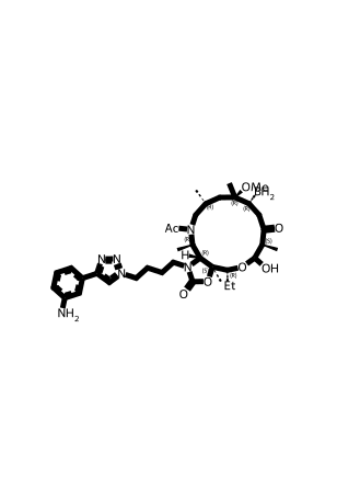 B[C@@H]1CC(=O)[C@@H](C)C(O)O[C@H](CC)[C@@]2(C)OC(=O)N(CCCCn3cc(-c4cccc(N)c4)nn3)[C@@H]2[C@@H](C)N(C(C)=O)C[C@H](C)C[C@@]1(C)OC